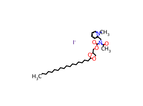 CCCCCCCCCCCCCCCCCC1OCC(COC(=O)N(Cc2cccc[n+]2C)C(C)=O)O1.[I-]